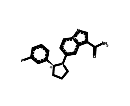 NC(=O)c1cnn2ccc(N3CCC[C@@H]3c3cccc(F)c3)cc12